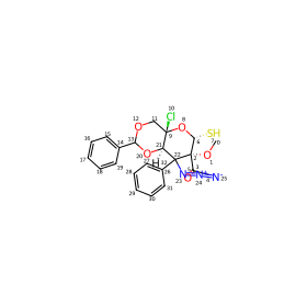 CO[C@@]1(C(C)=O)[C@@H](S)O[C@@]2(Cl)COC(c3ccccc3)O[C@@H]2C1(N=[N+]=[N-])c1ccccc1